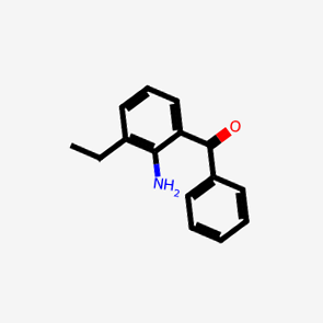 C[CH]c1cccc(C(=O)c2ccccc2)c1N